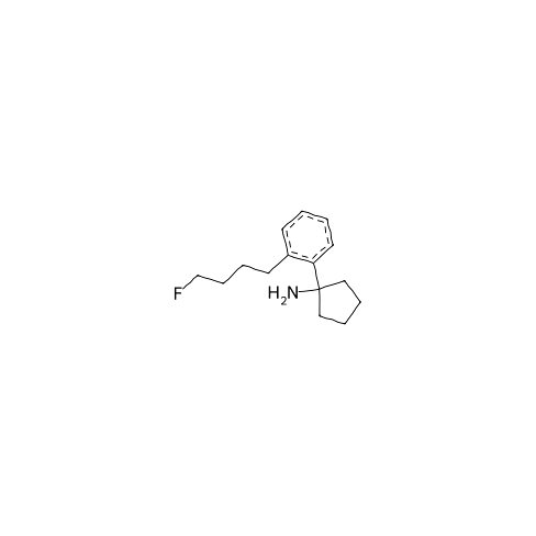 NC1(c2ccccc2CCCCF)CCCC1